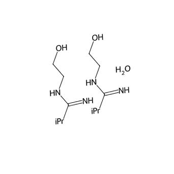 CC(C)C(=N)NCCO.CC(C)C(=N)NCCO.O